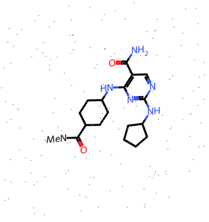 CNC(=O)C1CCC(Nc2nc(NC3CCCC3)ncc2C(N)=O)CC1